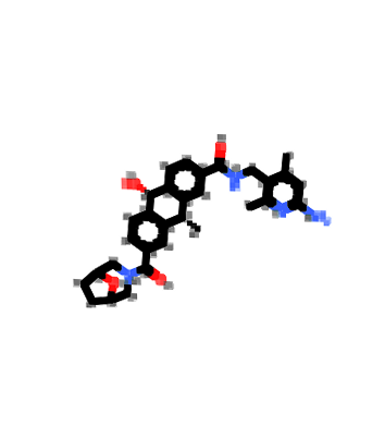 Cc1cc(N)nc(C)c1CNC(=O)c1ccc2c(c1)[C@H](C)c1cc(C(=O)N3CC4CCC(C3)O4)ccc1[C@@H]2O